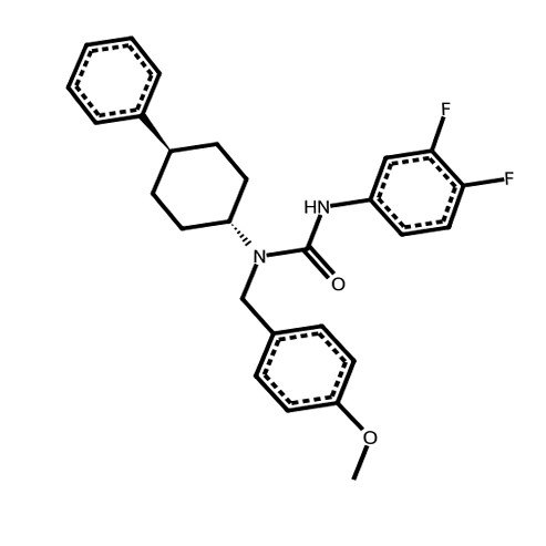 COc1ccc(CN(C(=O)Nc2ccc(F)c(F)c2)[C@H]2CC[C@H](c3ccccc3)CC2)cc1